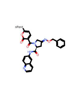 CCCCCc1ccc(C(=O)N2C/C(=N/OCc3ccccc3)C[C@H]2C(=O)Nc2ccc3ncccc3c2)c(=O)o1